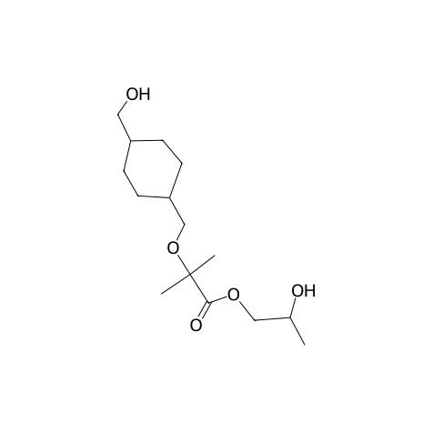 CC(O)COC(=O)C(C)(C)OCC1CCC(CO)CC1